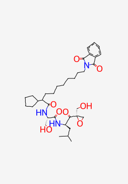 CC(C)C[C@@H](NC(=O)[C@H](CO)NC(=O)C(CCCCCCCCN1C(=O)c2ccccc2C1=O)C1CCCC1)C(=O)[C@@]1(CO)CO1